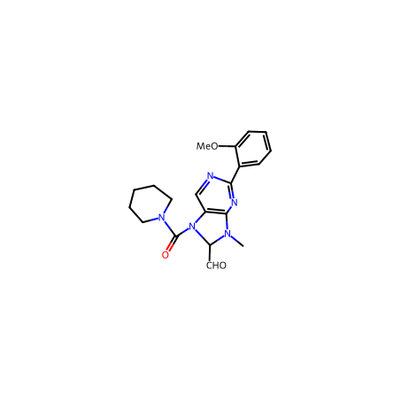 COc1ccccc1-c1ncc2c(n1)N(C)C(C=O)N2C(=O)N1CCCCC1